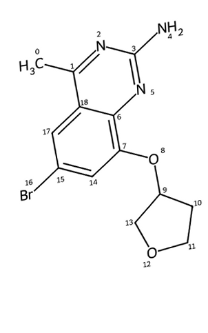 Cc1nc(N)nc2c(OC3CCOC3)cc(Br)cc12